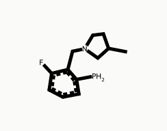 CC1CCN(Cc2c(F)cccc2P)C1